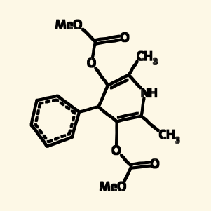 COC(=O)OC1=C(C)NC(C)=C(OC(=O)OC)C1c1ccccc1